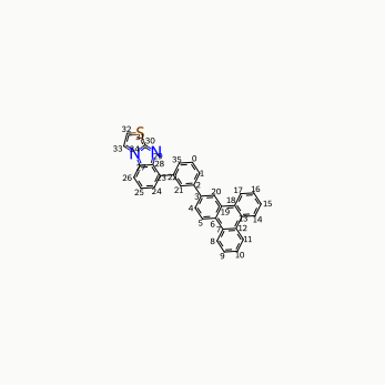 c1cc(-c2ccc3c4ccccc4c4ccccc4c3c2)cc(-c2cccc3c2nc2sccn23)c1